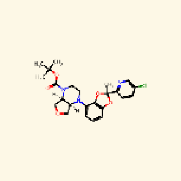 CC(C)(C)OC(=O)N1CCN(c2cccc3c2O[C@](C)(c2ccc(Cl)cn2)O3)[C@H]2COC[C@H]21